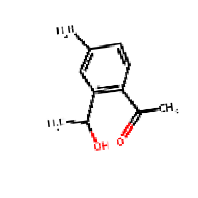 Bc1ccc(C(C)=O)c(C(C)O)c1